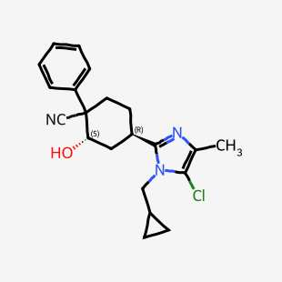 Cc1nc([C@@H]2CCC(C#N)(c3ccccc3)[C@@H](O)C2)n(CC2CC2)c1Cl